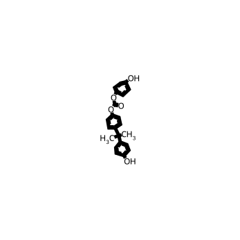 CC(C)(c1ccc(O)cc1)c1ccc(OC(=O)Oc2ccc(O)cc2)cc1